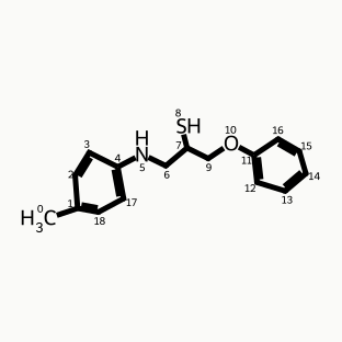 Cc1ccc(NCC(S)COc2ccccc2)cc1